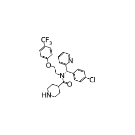 O=C(C1CCNCC1)N(CCOc1ccc(C(F)(F)F)cc1)[C@@H](c1ccc(Cl)cc1)c1ccccn1